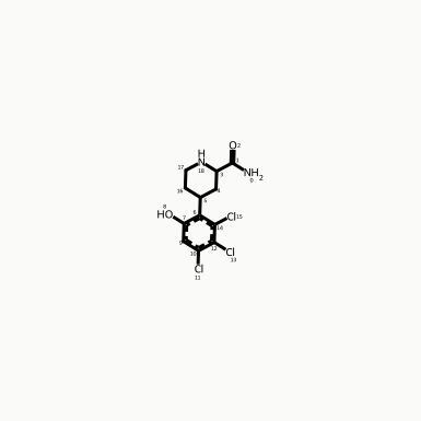 NC(=O)C1CC(c2c(O)cc(Cl)c(Cl)c2Cl)CCN1